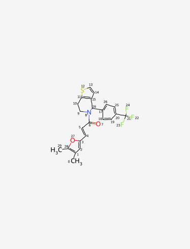 Cc1cc(C=CC(=O)N2CCc3sccc3C2c2ccc(C(F)(F)F)cc2)oc1C